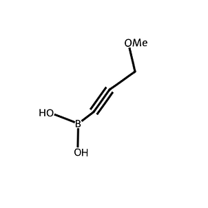 COCC#CB(O)O